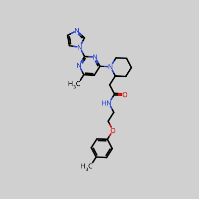 Cc1ccc(OCCNC(=O)CC2CCCCN2c2cc(C)nc(-n3ccnc3)n2)cc1